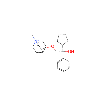 C[N+]12CCC(CC1)C(OCC(O)(c1ccccc1)C1CCCC1)C2